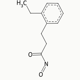 CCc1ccccc1CCC(=O)N=O